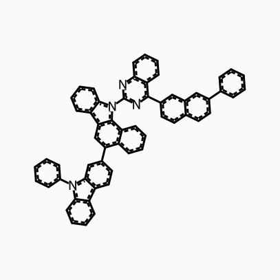 c1ccc(-c2ccc3ccc(-c4nc(-n5c6ccccc6c6cc(-c7ccc8c9ccccc9n(-c9ccccc9)c8c7)c7ccccc7c65)nc5ccccc45)cc3c2)cc1